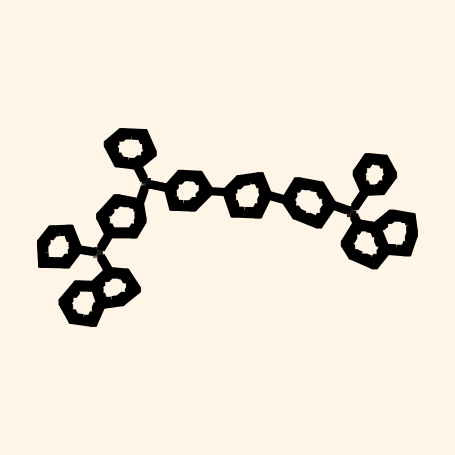 c1ccc(N(c2ccc(-c3ccc(-c4ccc(N(c5ccccc5)c5cccc6ccccc56)cc4)cc3)cc2)c2ccc(N(c3ccccc3)c3cccc4ccccc34)cc2)cc1